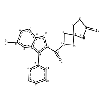 O=C1CCC2(CN(C(=O)c3sc4ccc(Cl)cc4c3-c3ccccc3)C2)N1